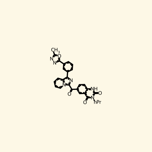 CCCn1c(=O)[nH]c2ccc(C(=O)c3nc(-c4cccc(-c5nnc(C)o5)c4)c4ccccn34)cc2c1=O